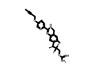 CC#CCOc1ccc(C2=Nc3cc([C@H](C)C(F)(F)COC(=N)N)c(F)cc3CN2)nc1